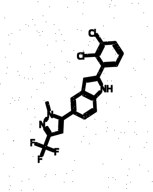 Cn1nc(C(F)(F)F)cc1-c1ccc2[nH]c(-c3cccc(Cl)c3Cl)cc2c1